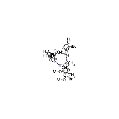 CCC(C)[C@H]1O[C@]2(C=C[C@@H]1C)C[C@@H]1C[C@@H](C/C=C(\C)[C@@H](OC3C[C@H](OC)[C@@H](OC(CBr)OC)[C@H](C)O3)C(C)/C=C/C=C3\CO[C@@H]4[C@H](O)C(C)=C[C@@H](C(=O)O1)[C@]34O)O2